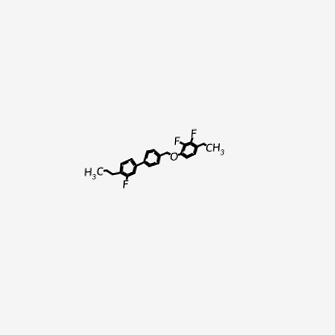 CCCc1ccc(-c2ccc(COc3ccc(CC)c(F)c3F)cc2)cc1F